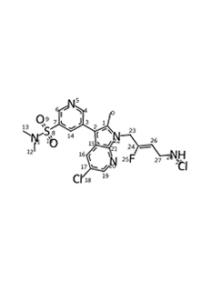 Cc1c(-c2cncc(S(=O)(=O)N(C)C)c2)c2cc(Cl)cnc2n1C/C(F)=C/CNCl